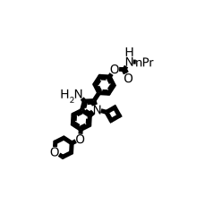 CCCNC(=O)Oc1ccc(-c2c(N)c3ccc(OC4CCOCC4)cc3n2C2CCC2)cc1